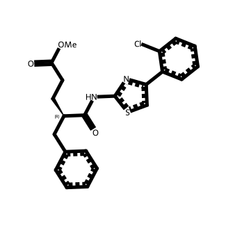 COC(=O)CC[C@H](Cc1ccccc1)C(=O)Nc1nc(-c2ccccc2Cl)cs1